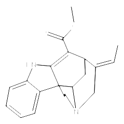 C/C=C1/CN2CCC34C(=C(C(=O)OC)C1CC23)Nc1ccccc14